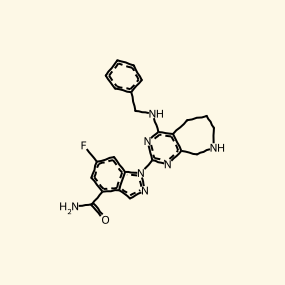 NC(=O)c1cc(F)cc2c1cnn2-c1nc2c(c(NCc3ccccc3)n1)CCCNC2